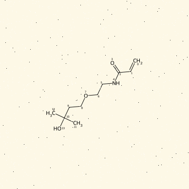 C=CC(=O)NCCOCCC(C)(C)O